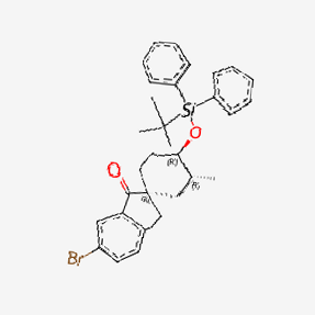 C[C@@H]1C[C@]2(CC[C@H]1O[Si](c1ccccc1)(c1ccccc1)C(C)(C)C)Cc1ccc(Br)cc1C2=O